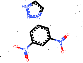 O=[N+]([O-])c1cccc([N+](=O)[O-])c1.c1c[nH]nn1